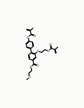 C=C(C)C(=O)OCCOc1cc(C(=O)OCCOC)ccc1-c1ccc(OC(=O)C(=C)C)cc1